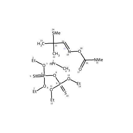 CCCC.CCOP(=S)(OCC)OP(=S)(OCC)OCC.CNC(=O)O/N=C/C(C)(C)SC